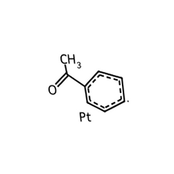 CC(=O)c1cc[c]cc1.[Pt]